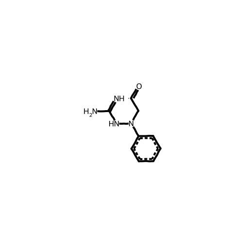 N=C(N)NN(C[C]=O)c1ccccc1